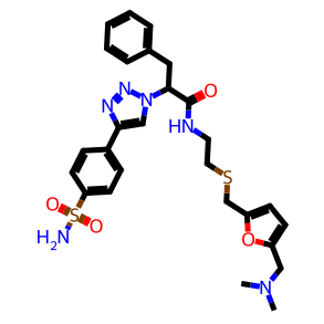 CN(C)Cc1ccc(CSCCNC(=O)C(Cc2ccccc2)n2cc(-c3ccc(S(N)(=O)=O)cc3)nn2)o1